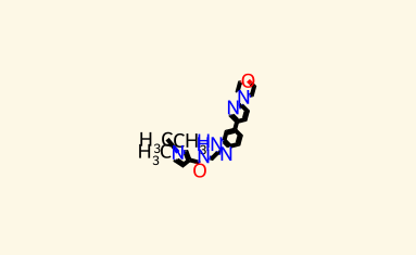 CC(C)(C)n1ccc(C(=O)NCc2nc3ccc(-c4ccc(N5CCOCC5)nc4)cc3[nH]2)c1